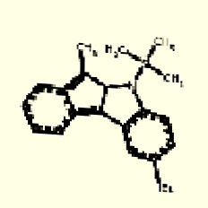 CC1=c2ccccc2=C2c3cc(C(C)(C)C)ccc3N([Si](C)(C)C)C12